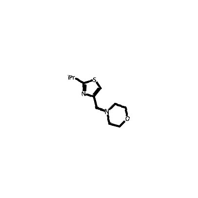 CC(C)c1nc(CN2CCOCC2)cs1